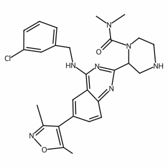 Cc1noc(C)c1-c1ccc2nc(C3CNCCN3C(=O)N(C)C)nc(NCc3cccc(Cl)c3)c2c1